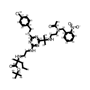 CCCC(C)(NCCNc1nc(SCc2ccc(Cl)cc2)nc(C(C)(C)NCCN(Cc2ccccc2[N+](=O)[O-])C(C)=O)n1)C(=O)OC(C)(C)C